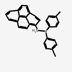 Cc1ccc(N([SiH2]c2ccc3ccc4cccc5ccc2c3c45)c2ccc(C)cc2)cc1